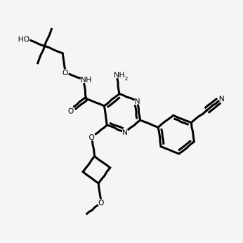 COC1CC(Oc2nc(-c3cccc(C#N)c3)nc(N)c2C(=O)NOCC(C)(C)O)C1